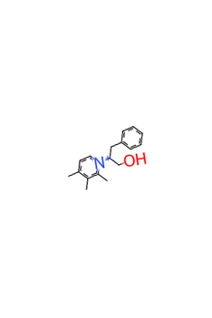 Cc1cc[n+](C(CO)Cc2ccccc2)c(C)c1C